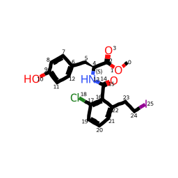 COC(=O)[C@H](Cc1ccc(O)cc1)NC(=O)c1c(Cl)cccc1CCI